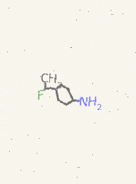 CC(F)C1CCC(N)CC1